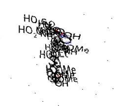 CCN[C@H]1CO[C@@H](O[C@H]2[C@H](O[C@H]3C#C/C=C\C#C[C@]4(O)CC(=O)C(NC(=O)OC)=C3/C4=C\CSSC[C@H](NC(=O)CC[C@H](N)C(=O)O)C(=O)NCC(=O)O)O[C@H](C)[C@@H](NO[C@H]3C[C@H](O)[C@H](SC(=O)c4c(C)c(I)c(O[C@@H]5O[C@@H](C)[C@H](O)[C@@H](OC)[C@H]5O)c(OC)c4OC)[C@@H](C)O3)[C@@H]2O)C[C@@H]1OC